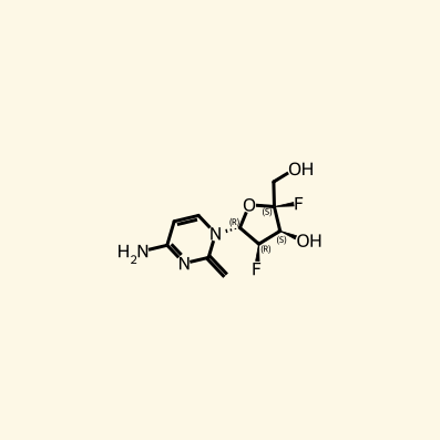 C=C1N=C(N)C=CN1[C@@H]1O[C@](F)(CO)[C@@H](O)[C@H]1F